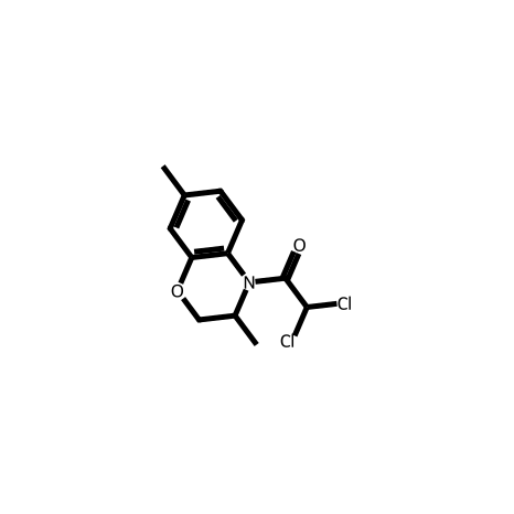 Cc1ccc2c(c1)OCC(C)N2C(=O)C(Cl)Cl